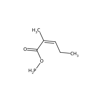 CCC=C(C)C(=O)OP